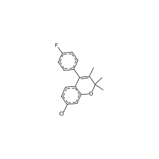 CC1=C(c2ccc(F)cc2)c2ccc(Cl)cc2OC1(C)C